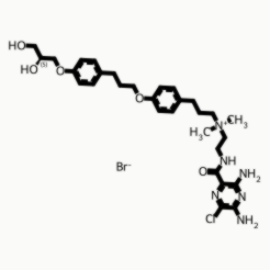 C[N+](C)(CCCc1ccc(OCCCc2ccc(OC[C@@H](O)CO)cc2)cc1)CCNC(=O)c1nc(Cl)c(N)nc1N.[Br-]